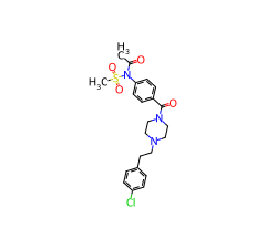 CC(=O)N(c1ccc(C(=O)N2CCN(CCc3ccc(Cl)cc3)CC2)cc1)S(C)(=O)=O